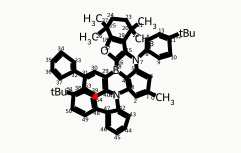 Cc1cc2c3c(c1)N(c1ccc(C(C)(C)C)cc1)c1c(oc4c1C(C)(C)CCC4(C)C)B3c1cc(-c3ccccc3)ccc1N2c1ccccc1-c1ccc(C(C)(C)C)cc1